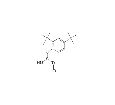 CC(C)(C)c1ccc(OP(O)OCl)c(C(C)(C)C)c1